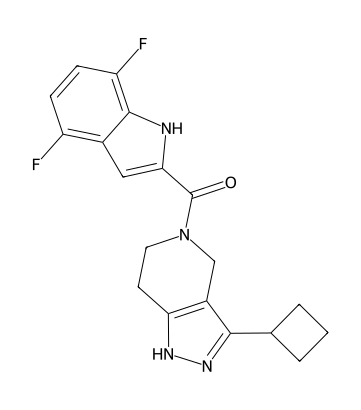 O=C(c1cc2c(F)ccc(F)c2[nH]1)N1CCc2[nH]nc(C3CCC3)c2C1